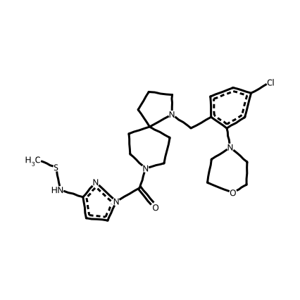 CSNc1ccn(C(=O)N2CCC3(CCCN3Cc3ccc(Cl)cc3N3CCOCC3)CC2)n1